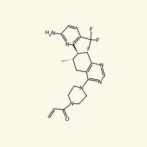 C=CC(=O)N1CCN(c2ncnc3c2C[C@H](C)[C@@H](c2nc(N)ccc2C(F)(F)F)C3)CC1